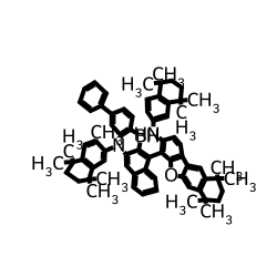 Cc1cc2c(cc1N1c3cc(-c4ccccc4)ccc3Bc3c1cc1ccccc1c3-c1c(Nc3ccc4c(c3)C(C)(C)CCC4(C)C)ccc3c1oc1cc4c(cc13)C(C)(C)CCC4(C)C)C(C)(C)CCC2(C)C